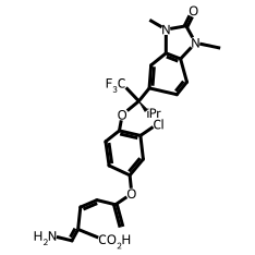 C=C(/C=C\C(=C/N)C(=O)O)Oc1ccc(O[C@](c2ccc3c(c2)n(C)c(=O)n3C)(C(C)C)C(F)(F)F)c(Cl)c1